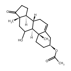 CC(=O)O[C@H]1CC[C@@]2(C)C(=CC[C@@H]3[C@@H]2C(O)C[C@]2(C)C(=O)CC[C@@H]32)C1